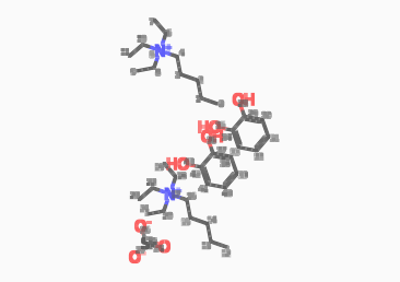 CCCCC[N+](CC)(CC)CC.CCCCC[N+](CC)(CC)CC.O=[Si]([O-])[O-].Oc1ccccc1O.Oc1ccccc1O